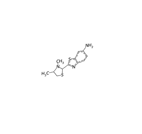 CC1CSC(c2nc3ccc(N)cc3s2)N1C